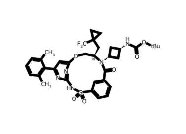 Cc1cccc(C)c1-c1cc2nc(n1)NS(=O)(=O)c1cccc(c1)C(=O)N([C@H]1C[C@@H](NC(=O)OC(C)(C)C)C1)[C@H](CC1(C(F)(F)F)CC1)CO2